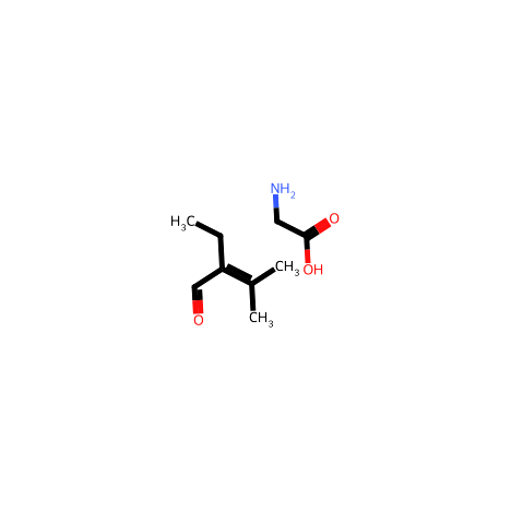 CCC(C=O)=C(C)C.NCC(=O)O